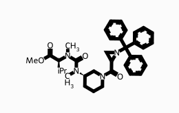 COC(=O)[C@H](C(C)C)N(C)C(=O)N(C)[C@H]1CCCN(C(=O)C2CN2C(c2ccccc2)(c2ccccc2)c2ccccc2)C1